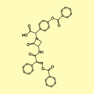 O=C(NC1CN(C(C(=O)O)c2ccc(OC(=O)c3ccccc3)cc2)C1=O)C(=NOC(=O)c1ccccc1)c1ccccc1